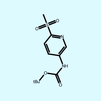 CC(C)(C)OC(=O)Nc1ccc(S(C)(=O)=O)nc1